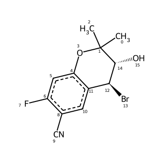 CC1(C)Oc2cc(F)c(C#N)cc2[C@H](Br)[C@H]1O